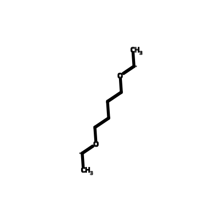 C[CH]OCCCCO[CH]C